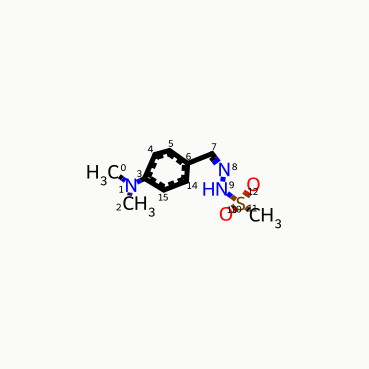 CN(C)c1ccc(/C=N\NS(C)(=O)=O)cc1